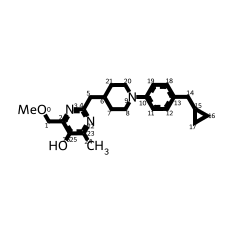 COCc1nc(CC2CCN(c3ccc(CC4CC4)cc3)CC2)nc(C)c1O